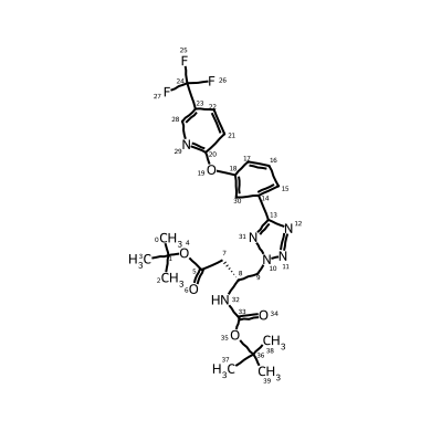 CC(C)(C)OC(=O)C[C@H](Cn1nnc(-c2cccc(Oc3ccc(C(F)(F)F)cn3)c2)n1)NC(=O)OC(C)(C)C